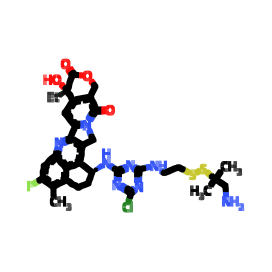 CC[C@@]1(O)C(=O)OCc2c1cc1n(c2=O)Cc2c-1nc1cc(F)c(C)c3c1c2[C@@H](Nc1nc(Cl)nc(NCCSSC(C)(C)CN)n1)CC3